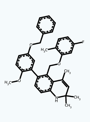 COc1ccc(OCc2ccccc2)cc1-c1ccc2c(c1COc1cc(F)ccc1C)C(C)=CC(C)(C)N2